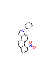 O=[N+]([O-])c1cccc2ccc3c(ccc4c3ccn4-c3ccccc3)c12